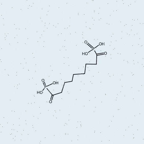 O=C(CCCCCCCC(=O)P(=O)(O)O)P(=O)(O)O